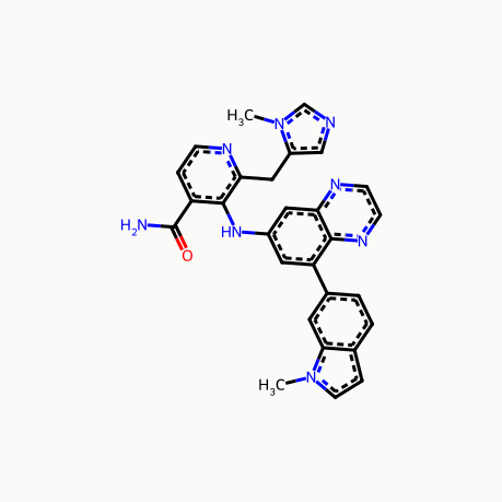 Cn1cncc1Cc1nccc(C(N)=O)c1Nc1cc(-c2ccc3ccn(C)c3c2)c2nccnc2c1